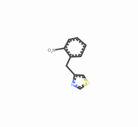 O=[N+]([O-])c1ccccc1Cc1cscn1